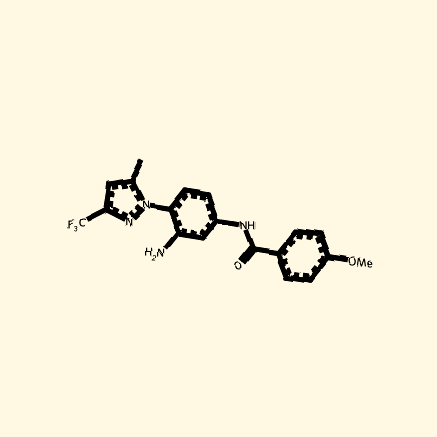 COc1ccc(C(=O)Nc2ccc(-n3nc(C(F)(F)F)cc3C)c(N)c2)cc1